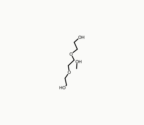 CO.OCCOCCOCCO